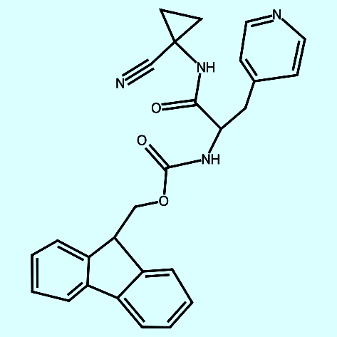 N#CC1(NC(=O)C(Cc2ccncc2)NC(=O)OCC2c3ccccc3-c3ccccc32)CC1